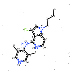 CCCCn1cc(F)c2c(Nc3c(C)cncc3C)nccc21